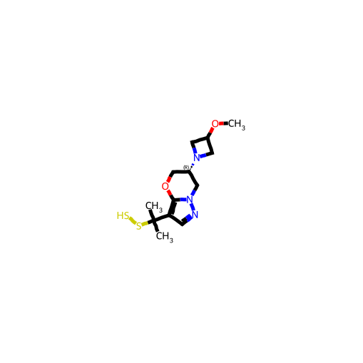 COC1CN([C@H]2COc3c(C(C)(C)SS)cnn3C2)C1